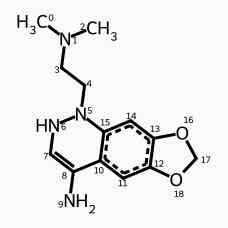 CN(C)CCN1NC=C(N)c2cc3c(cc21)OCO3